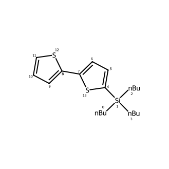 CCCC[Si](CCCC)(CCCC)c1ccc(-c2cccs2)s1